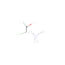 CCN(C(C)C)C(C)C.O=C(Cl)CCl